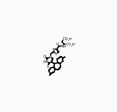 Cc1ccc2c(c1)C=Cc1cc(C)ccc1C2c1cn(Cc2nc(C(=O)N[C@@H](CC(=O)O)C(=O)O)cs2)c(=O)[nH]c1=S